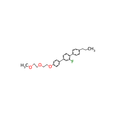 CCCc1ccc(-c2ccc(-c3ccc(OCCOCCOC)cc3)cc2F)cc1